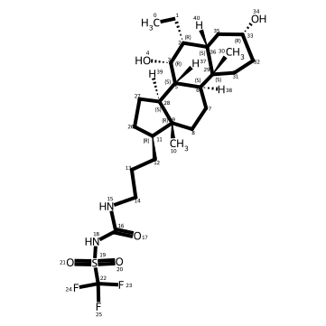 CC[C@H]1[C@@H](O)[C@@H]2[C@H](CC[C@]3(C)[C@@H](CCCNC(=O)NS(=O)(=O)C(F)(F)F)CC[C@@H]23)[C@@]2(C)CC[C@@H](O)C[C@@H]12